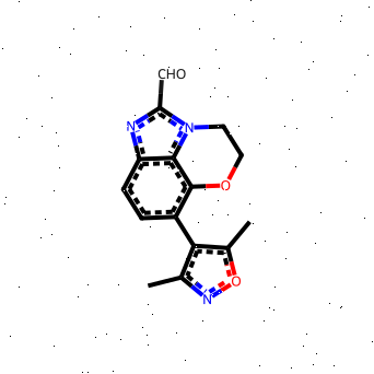 Cc1noc(C)c1-c1ccc2nc(C=O)n3c2c1OCC3